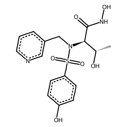 C[C@H](O)[C@H](C(=O)NO)N(Cc1cccnc1)S(=O)(=O)c1ccc(O)cc1